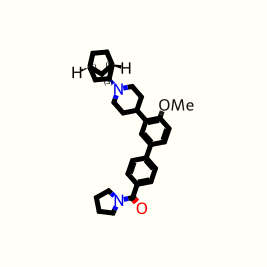 COc1ccc(-c2ccc(C(=O)N3CCCC3)cc2)cc1C1CCN([C@H]2C[C@H]3CC[C@H]2C3)CC1